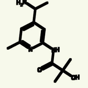 Cc1cc(C(C)N)cc(NC(=O)C(C)(C)O)n1